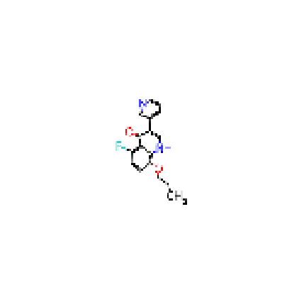 CCCOc1ccc(F)c2c(=O)c(-c3cccnc3)c[nH]c12